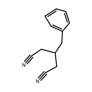 N#CCC(CC#N)Cc1ccccc1